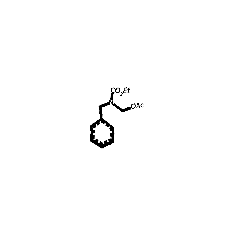 CCOC(=O)N(COC(C)=O)Cc1ccccc1